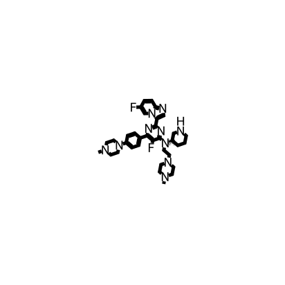 CN1CCN(CCN(c2nc(-c3cnc4ccc(F)cn34)nc(-c3ccc(N4CCN(C)CC4)cc3)c2F)[C@@H]2CCCNC2)CC1